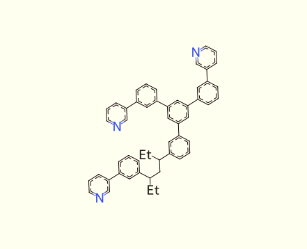 CCC(CC(CC)c1cccc(-c2cc(-c3cccc(-c4cccnc4)c3)cc(-c3cccc(-c4cccnc4)c3)c2)c1)c1cccc(-c2cccnc2)c1